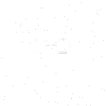 CCC(C)c1ccccc1[S+]=O